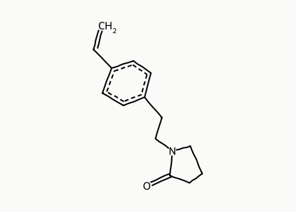 C=Cc1ccc(CCN2CCCC2=O)cc1